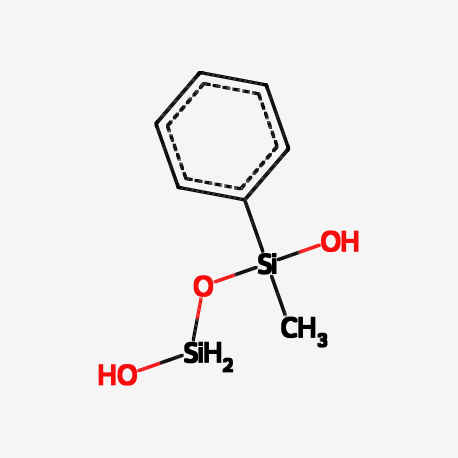 C[Si](O)(O[SiH2]O)c1ccccc1